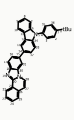 CC(C)(C)c1ccc(-n2c3ccccc3c3cc(-c4ccc5nc6c7ccccc7ccn6c5c4)ccc32)cc1